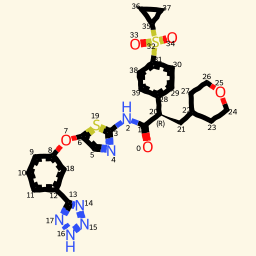 O=C(Nc1ncc(Oc2cccc(-c3nn[nH]n3)c2)s1)[C@H](CC1CCOCC1)c1ccc(S(=O)(=O)C2CC2)cc1